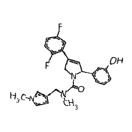 CN(Cc1ccn(C)c1)C(=O)N1CC(c2cc(F)ccc2F)=CC1c1cccc(O)c1